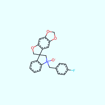 [O-][N+]1(Cc2ccc(F)cc2)CC2(COc3cc4c(cc32)OCO4)c2ccccc21